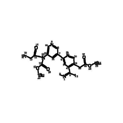 C/N=C(/I)c1cc(-c2cncc(N(C(=O)CC(C)C)C(=O)OC(C)(C)C)c2)ncc1CC(=O)OC(C)(C)C